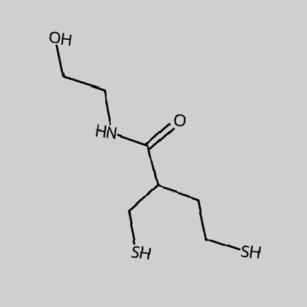 O=C(NCCO)C(CS)CCS